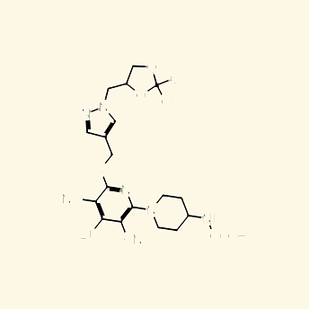 CCc1c(C#N)c(SCc2cnn(CC3COC(C)(C)O3)c2)nc(N2CCC(NC(=O)O)CC2)c1C#N